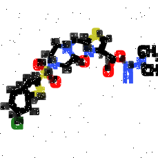 CN(C)NOC(=O)c1csc(CN2CCN(S(=O)(=O)c3cc4ccc(Cl)cc4s3)CC2=O)n1